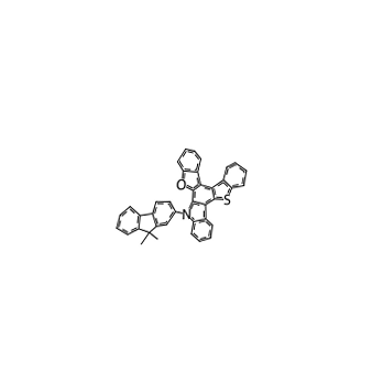 CC1(C)c2ccccc2-c2ccc(-n3c4ccccc4c4c5sc6ccccc6c5c5c6ccccc6oc5c43)cc21